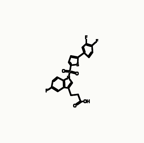 O=C(O)CCc1cn(S(=O)(=O)c2ccc(-c3ccc(F)c(F)c3)s2)c2ccc(F)cc12